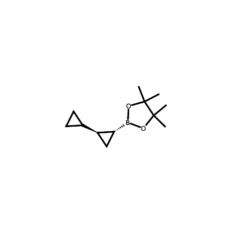 CC1(C)OB([C@@H]2C[C@H]2C2CC2)OC1(C)C